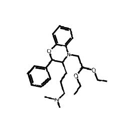 CCOC(CN1c2ccccc2OC(c2ccccc2)C1CCCN(C)C)OCC